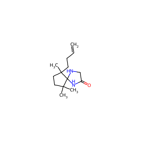 C=CCCC1(C)CCC(C)(C)C12NCC(=O)N2